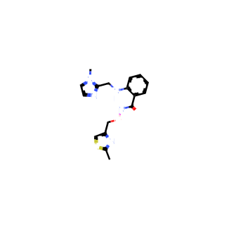 Cc1nc(CONC(=O)c2ccccc2NCc2nccn2C)cs1